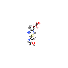 COc1c(C)cnc(C[S+]([O-])c2nc3cc(OC(=O)O)ccc3[nH]2)c1C